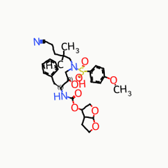 COc1ccc(S(=O)(=O)N(C[C@@H](O)[C@H](Cc2ccccc2)NC(=O)OC2COC3OCCC23)CC(C)(C)CCC#N)cc1